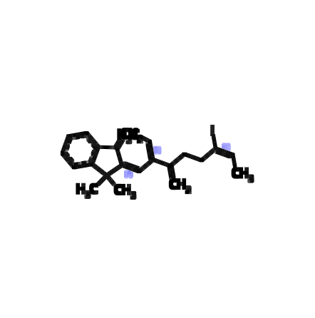 C=C(CC/C(I)=C\C)C(/C=C1\C(=C)c2ccccc2C1(C)C)=C/C